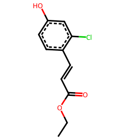 CCOC(=O)/C=C/c1ccc(O)cc1Cl